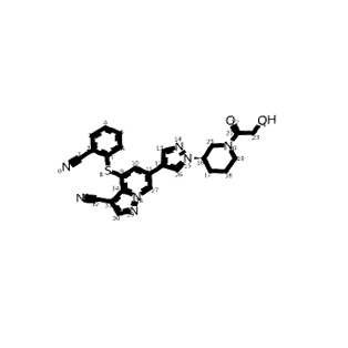 N#Cc1ccccc1Sc1cc(-c2cnn([C@H]3CCCN(C(=O)CO)C3)c2)cn2ncc(C#N)c12